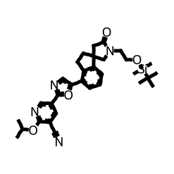 CC(C)Oc1ncc(-c2ncc(-c3cccc4c3CCC43CC(=O)N(CCO[Si](C)(C)C(C)(C)C)C3)o2)cc1C#N